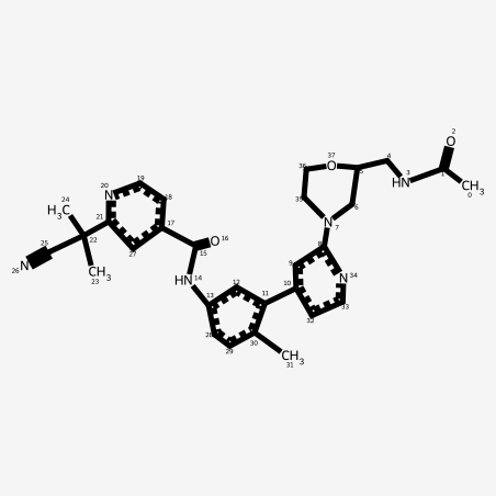 CC(=O)NCC1CN(c2cc(-c3cc(NC(=O)c4ccnc(C(C)(C)C#N)c4)ccc3C)ccn2)CCO1